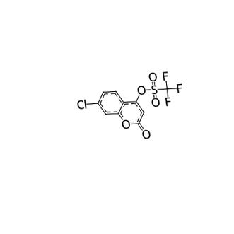 O=c1cc(OS(=O)(=O)C(F)(F)F)c2ccc(Cl)cc2o1